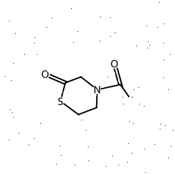 [CH2]C(=O)N1CCSC(=O)C1